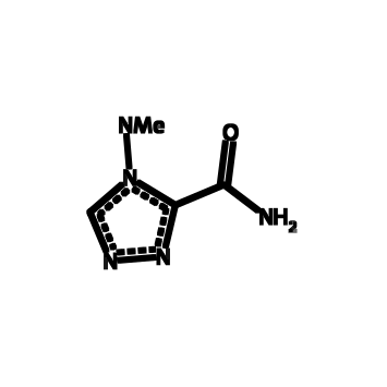 CNn1cnnc1C(N)=O